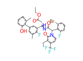 CCOC(=O)C[C@H](NC(=O)C(c1c(F)cccc1Br)n1ccc(C(F)(F)F)c(CC)c1=O)c1cc(-c2c(C)cccc2O)cc(C)c1F